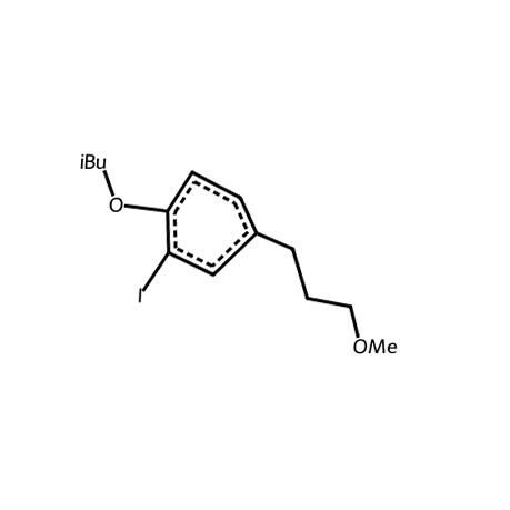 CCC(C)Oc1ccc(CCCOC)cc1I